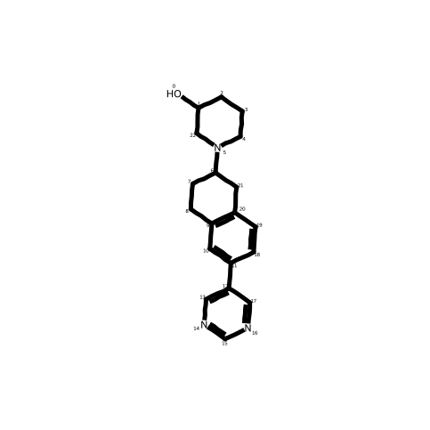 OC1CCCN(C2CCc3cc(-c4cncnc4)ccc3C2)C1